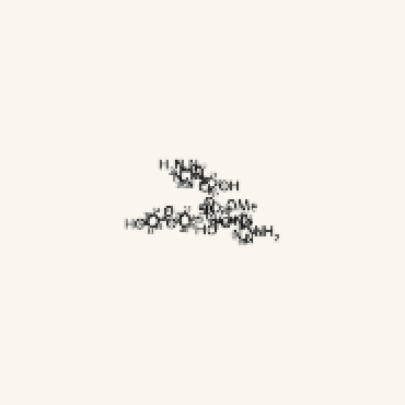 COC1C(OP(=O)(OC[C@H]2O[C@@H](n3cnc4c(N)ncnc43)CC2O)SCc2ccc(OC(=O)c3ccc(O)cc3)cc2)[C@@H](CO)O[C@H]1n1cnc2c(N)ncnc21